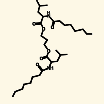 CCCCCCCC(=O)NC(CC(C)C)C(=O)OCCCOC(=O)C(CC(C)C)NC(=O)CCCCCCC